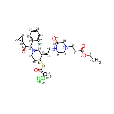 CCOC(=O)CCN1CCN(CC=C2CN(C(C(=O)C3CC3)c3ccccc3F)CCC2SC(C)=O)C(=O)C1.Cl.Cl